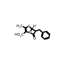 CC1=C(C(=O)O)N2C(=O)C(Cc3ccccc3)[C@H]2S1